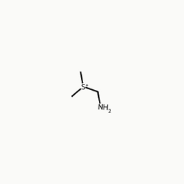 C[S+](C)CN